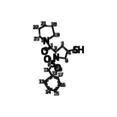 O=C(C1CC(S)CN1S(=O)(=O)Cc1ccccc1)N1CCCCC1